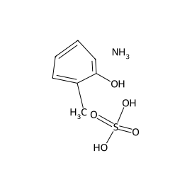 Cc1ccccc1O.N.O=S(=O)(O)O